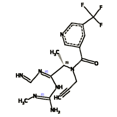 C#CCN(C(=O)c1cncc(C(F)(F)F)c1)[C@@H](C)/C(=N/C=N)N/C(N)=N/C